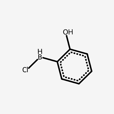 Oc1ccccc1BCl